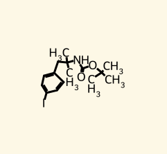 CC(C)(Cc1ccc(I)cc1)NC(=O)OC(C)(C)C